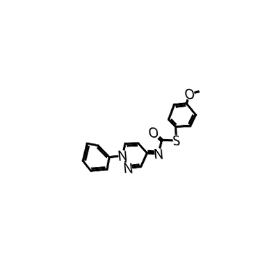 COc1ccc(SC(=O)N=c2ccn(-c3ccccc3)nc2)cc1